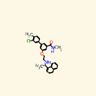 CNC(=O)c1cc(OCCN[C@H](C)c2cccc3ccccc23)cc(-c2ccc(C)c(Cl)c2)c1